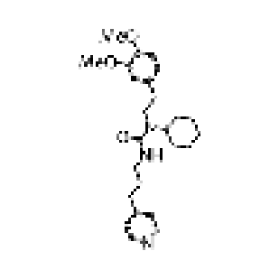 COc1ccc(CCN(C(=O)NCCCc2ccncc2)C2CCCCC2)cc1OC